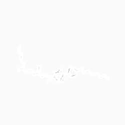 CCCCCCCCc1ccc(-c2ncc(OCCC(F)CCCC(C)CCCCC)cn2)cc1